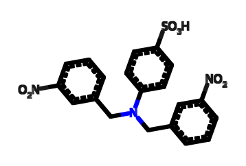 O=[N+]([O-])c1cccc(CN(Cc2cccc([N+](=O)[O-])c2)c2ccc(S(=O)(=O)O)cc2)c1